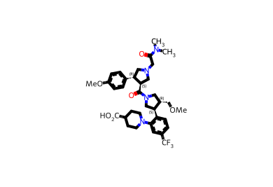 COC[C@H]1CN(C(=O)[C@@H]2CN(CC(=O)N(C)C)C[C@H]2c2ccc(OC)cc2)C[C@@H]1c1ccc(C(F)(F)F)cc1N1CCC(C(=O)O)CC1